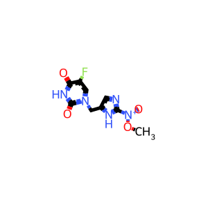 CO[N+](=O)c1ncc(Cn2cc(F)c(=O)[nH]c2=O)[nH]1